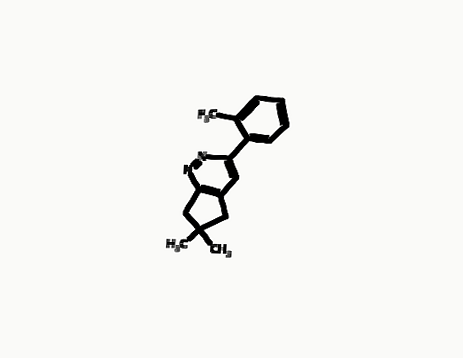 CC1(C)Cc2cc(-c3ccccc3C(F)(F)F)nnc2C1